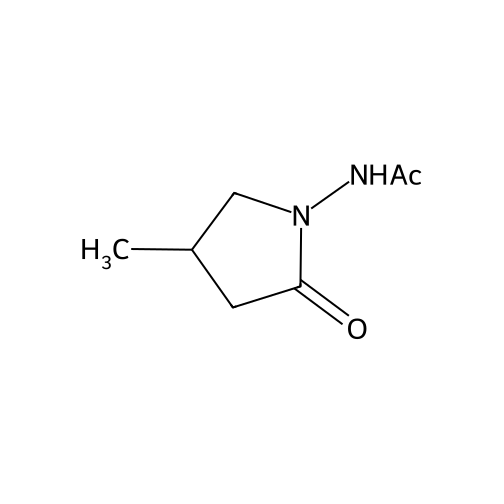 CC(=O)NN1CC(C)CC1=O